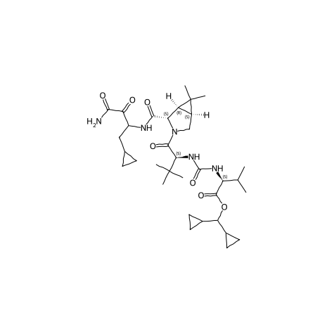 CC(C)[C@H](NC(=O)N[C@H](C(=O)N1C[C@H]2[C@@H]([C@H]1C(=O)NC(CC1CC1)C(=O)C(N)=O)C2(C)C)C(C)(C)C)C(=O)OC(C1CC1)C1CC1